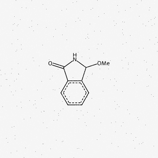 COC1NC(=O)c2ccccc21